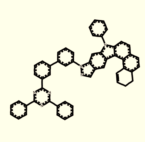 C1=Cc2c(ccc3ccc4c(c5cc6cnn(-c7cccc(-c8cccc(-c9nc(-c%10ccccc%10)nc(-c%10ccccc%10)n9)c8)c7)c6cc5n4-c4ccccc4)c23)CC1